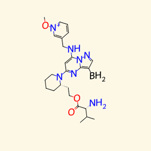 Bc1cnn2c(NCc3ccc[n+](OC)c3)cc(N3CCCC[C@H]3CCOC(=O)[C@H](N)C(C)C)nc12